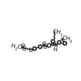 C=CC(=O)OCCCOc1ccc(-c2ccc(C(=O)OC3CCC(/C=N/Nc4ccc5c(c4)c4ccccc4n5CC)(c4ccc(CCCCC)cc4)CC3)cc2)cc1